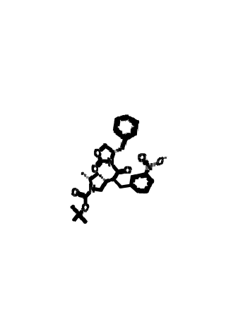 C[C@@H]1C[C@H]([C@H](Cc2cccc([N+](=O)[O-])c2)C(=O)N2C(=O)OC[C@@H]2Cc2ccccc2)CN1C(=O)OC(C)(C)C